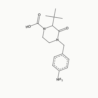 CC(C)(C)C1C(=O)N(Cc2ccc(N)cc2)CCN1C(=O)O